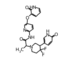 CC(C(=O)Nc1ccc(Oc2ccc[nH]c2=O)cn1)N1CCC(F)(F)C(c2ccc(=O)[nH]c2)C1